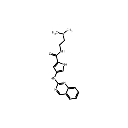 CN(C)CCNC(=O)c1cc(Nc2ncc3ccccc3n2)c[nH]1